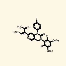 CN/C=C(\C(C)=N)c1cc2c(cn1)CN(c1c(F)c(OC)cc(OC)c1F)C(=O)N2c1ccc(F)cc1